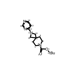 CC(C)(C)OC(=O)N1CCC2(CC1)CN(c1ccncn1)C2